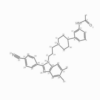 CC(=O)Nc1cccc(C2CCN(CCCn3c(-c4ccc(C#N)cc4)nc4cc(C)c(C)cc43)CC2)c1